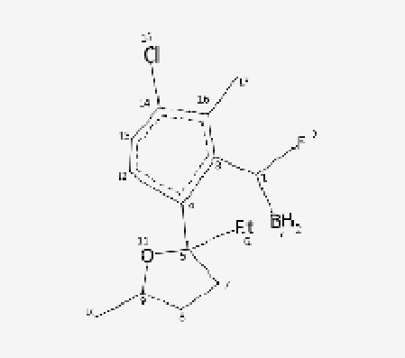 BC(F)c1c(C2(CC)CCC(C)O2)ccc(Cl)c1C